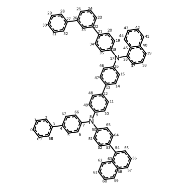 c1ccc(-c2ccc(N(c3ccc(-c4ccc(N(c5ccc(-c6cccc(-c7ccccc7)c6)cc5)c5cccc6ccccc56)cc4)cc3)c3ccc(-c4cccc5ccccc45)cc3)cc2)cc1